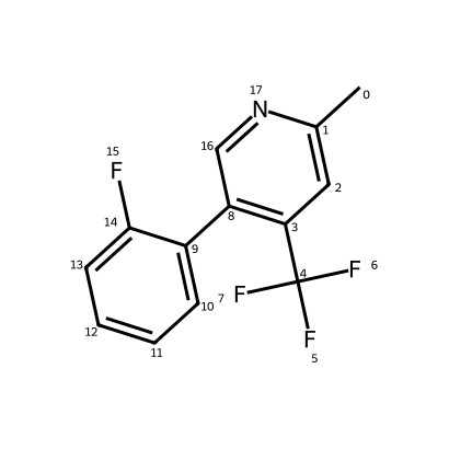 Cc1cc(C(F)(F)F)c(-c2ccccc2F)cn1